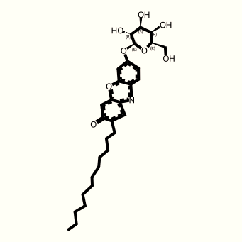 CCCCCCCCCCCCc1cc2nc3ccc(O[C@@H]4O[C@H](CO)[C@H](O)[C@H](O)[C@H]4O)cc3oc-2cc1=O